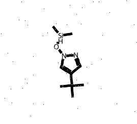 C[SiH](C)On1cc(C(C)(C)C)cn1